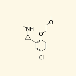 CNC1CC1c1cc(Cl)ccc1OCCOC